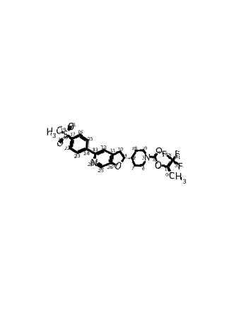 CC(OC(=O)N1CCC([C@H]2Cc3cc(-c4ccc(S(C)(=O)=O)cc4)ncc3O2)CC1)C(F)(F)F